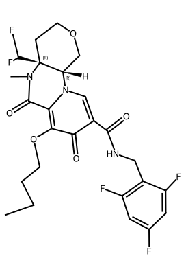 CCCCOc1c2n(cc(C(=O)NCc3c(F)cc(F)cc3F)c1=O)[C@H]1COCC[C@@]1(C(F)F)N(C)C2=O